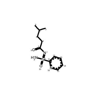 CC(C)CCC(=O)N=S(N)(=O)c1ccccn1